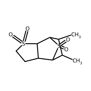 CC1C(C)C2C3C(CCS3(=O)=O)C1S2(=O)=O